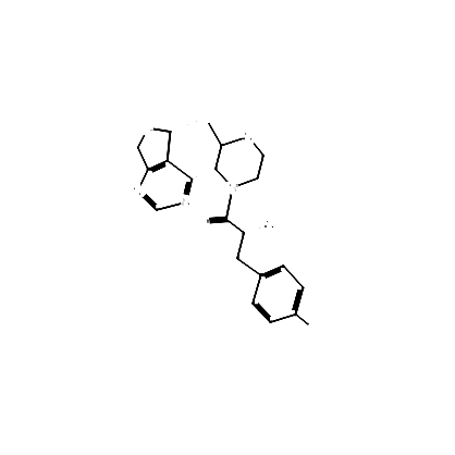 CC1NCCN(C(=O)[C@H](N)Cc2ccc(Cl)cc2)[C@@H]1c1ncnc2c1[C@@H](C)SC2